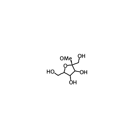 CO[C@]1(CO)OC(CO)C(O)C1O